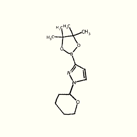 CC1(C)OB(c2ccn(C3CCCCO3)n2)OC1(C)C